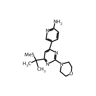 CSC(C)(C)c1cc(-c2ccc(N)nc2)nc(N2CCOCC2)n1